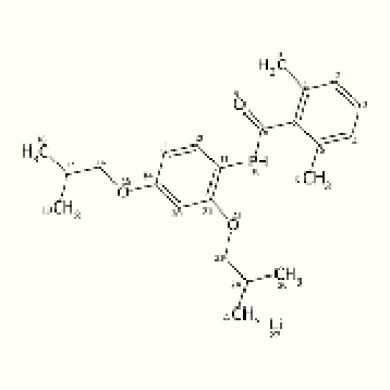 Cc1cccc(C)c1C(=O)Pc1ccc(OCC(C)C)cc1OCC(C)C.[Li]